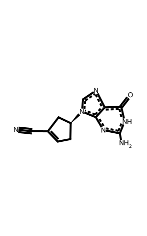 N#CC1=CC[C@H](n2cnc3c(=O)[nH]c(N)nc32)C1